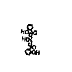 O=C(OCC(O)COC(=O)c1ccccc1O)c1ccccc1O